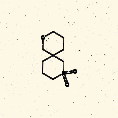 O=S1(=O)CCCC2(CCCOC2)C1